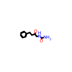 NC(=O)NCC(=O)CCc1ccccc1